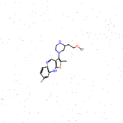 CCOCC[C@H]1CN(c2c(C)sc3c2C=Nc2ccc(F)cc2N3)CCN1